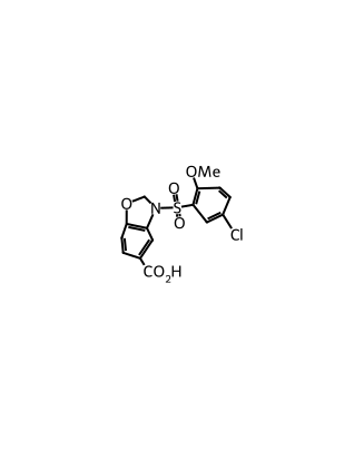 COc1ccc(Cl)cc1S(=O)(=O)N1COc2ccc(C(=O)O)cc21